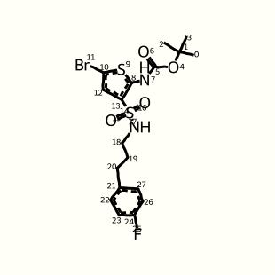 CC(C)(C)OC(=O)Nc1sc(Br)cc1S(=O)(=O)NCCCc1ccc(F)cc1